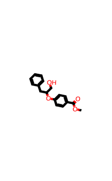 COC(=O)c1ccc(OC(CO)Cc2ccccc2)cc1